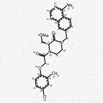 COC[C@H]1C(=O)N(Cc2ccc3c(N)ncnc3c2)CCN1C(=O)COc1ccc(Cl)cc1C